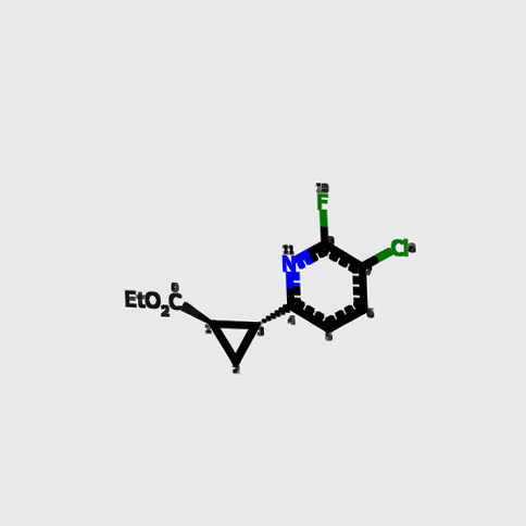 CCOC(=O)[C@@H]1C[C@H]1c1ccc(Cl)c(F)n1